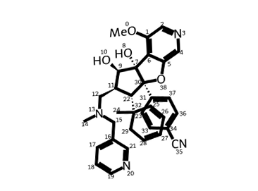 COc1cncc2c1[C@]1(O)[C@H](O)[C@H](CN(C)Cc3cccnc3)[C@@H](C3(C)C=CC=CC3)[C@]1(c1ccc(C#N)cc1)O2